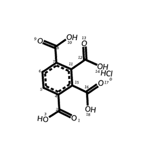 Cl.O=C(O)c1ccc(C(=O)O)c(C(=O)O)c1C(=O)O